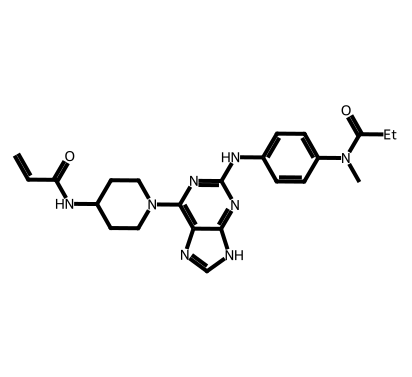 C=CC(=O)NC1CCN(c2nc(Nc3ccc(N(C)C(=O)CC)cc3)nc3[nH]cnc23)CC1